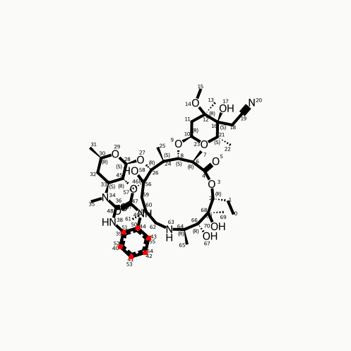 CC[C@H]1OC(=O)[C@H](C)[C@@H](O[C@H]2C[C@@](C)(OC)[C@](O)(CC#N)[C@H](C)O2)[C@H](C)[C@@H](O[C@@H]2O[C@H](C)C[C@H](N(C)C(=O)Nc3ccccc3)[C@H]2OC(=O)Nc2ccccc2)[C@](C)(O)C[C@@H](C)CN[C@H](C)[C@@H](O)[C@]1(C)O